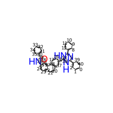 c1ccc(C2=NC(c3ccccc3)NC(c3ccc4c(ccc5ccc6c(c54)OC(c4ccccc4)N6)c3)N2)cc1